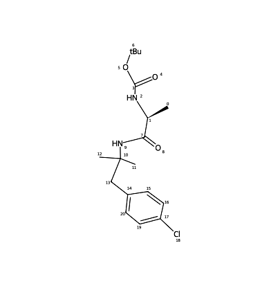 C[C@H](NC(=O)OC(C)(C)C)C(=O)NC(C)(C)Cc1ccc(Cl)cc1